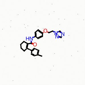 Cc1ccc(C2=C(C(=O)Nc3ccc(OCCn4cncn4)cc3)CCCC2)cc1